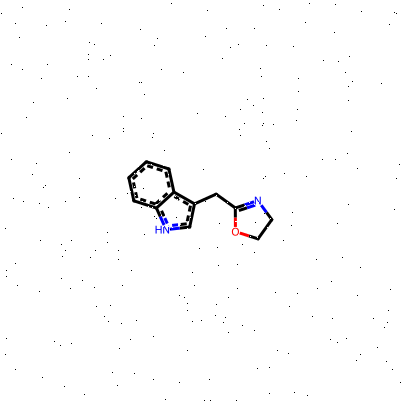 c1ccc2c(CC3=NCCO3)c[nH]c2c1